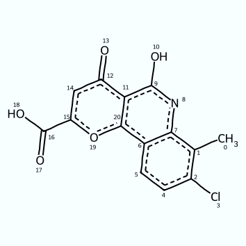 Cc1c(Cl)ccc2c1nc(O)c1c(=O)cc(C(=O)O)oc12